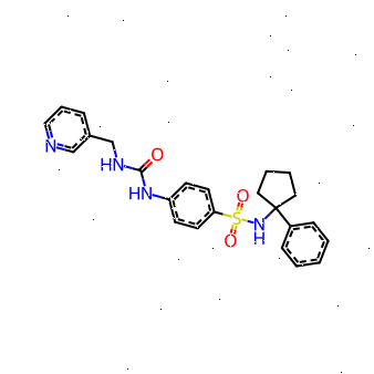 O=C(NCc1cccnc1)Nc1ccc(S(=O)(=O)NC2(c3ccccc3)CCCC2)cc1